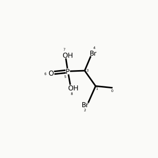 CC(Br)C(Br)P(=O)(O)O